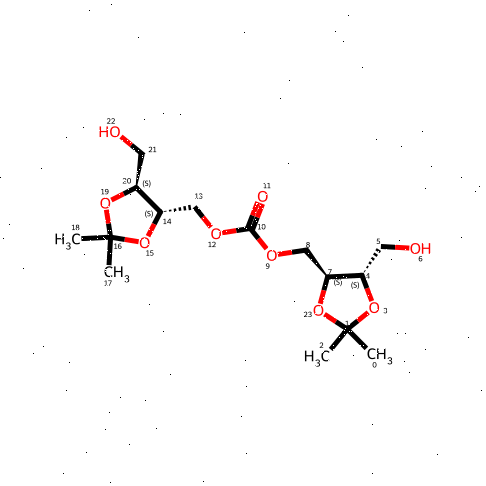 CC1(C)O[C@@H](CO)[C@H](COC(=O)OC[C@@H]2OC(C)(C)O[C@H]2CO)O1